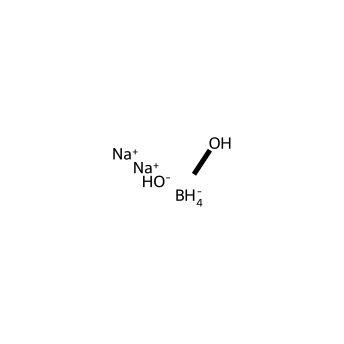 CO.[BH4-].[Na+].[Na+].[OH-]